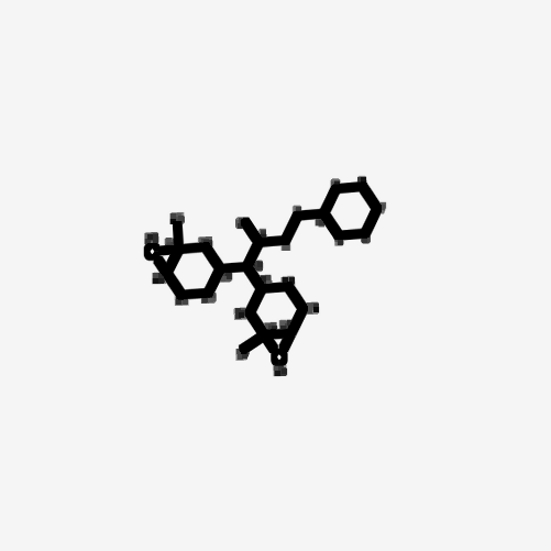 CC(CCC1CCCCC1)C(C1CCC2OC2(C)C1)C1CCC2OC2(C)C1